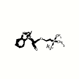 C[Si](C)(C)CCOC(=O)n1nnc2ccccc21